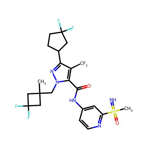 CC1(Cn2nc(C3CCC(F)(F)C3)c(C(F)(F)F)c2C(=O)Nc2ccnc(S(C)(=N)=O)c2)CC(F)(F)C1